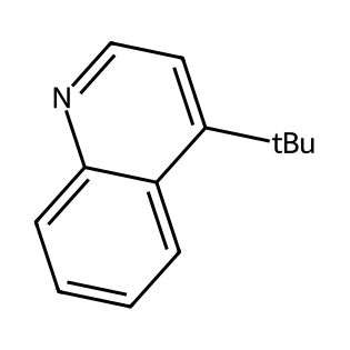 CC(C)(C)c1ccnc2ccccc12